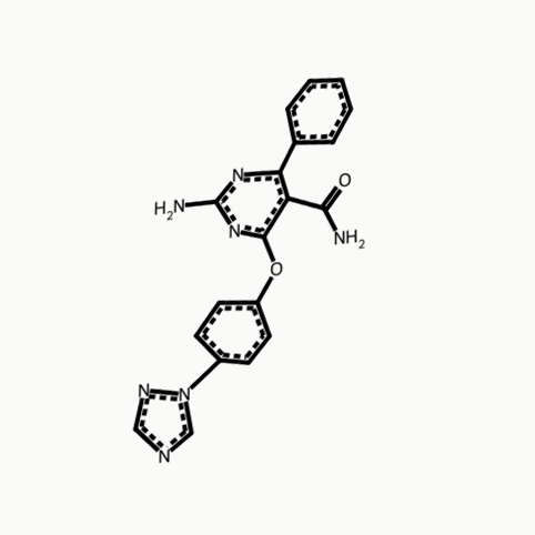 NC(=O)c1c(Oc2ccc(-n3cncn3)cc2)nc(N)nc1-c1ccccc1